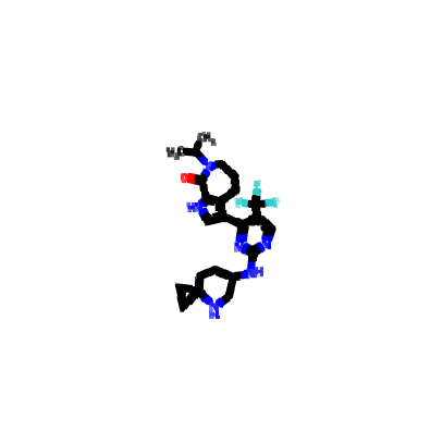 CC(C)N1CCCc2c(-c3nc(NC4CCC5(CC5)NC4)ncc3C(F)(F)F)c[nH]c2C1=O